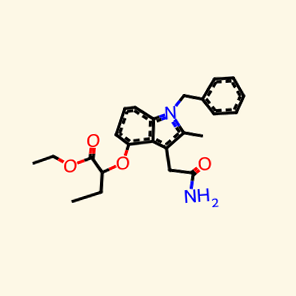 CCOC(=O)C(CC)Oc1cccc2c1c(CC(N)=O)c(C)n2Cc1ccccc1